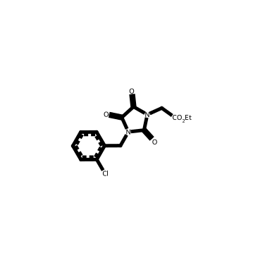 CCOC(=O)CN1C(=O)C(=O)N(Cc2ccccc2Cl)C1=O